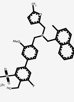 CCOC(=O)CS(=O)(=O)c1cc(-c2ccc(CN(Cc3ccc(C(F)(F)F)o3)Cc3c(C)ccc4ccccc34)c(OC)c2)cc(F)c1CO